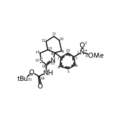 CO[N+](=O)c1cccc(C23CCCCC2CSC(NC(=O)OC(C)(C)C)=N3)c1